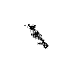 Cc1cc(F)c(COc2nsc(NC(=O)NCCCC(O)CN3CCCCC3)c2C(N)=O)c(F)c1